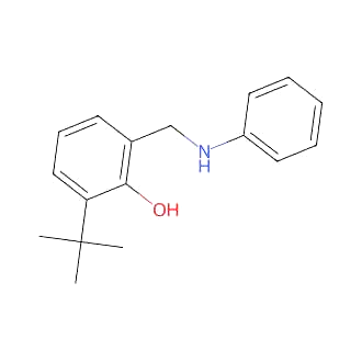 CC(C)(C)c1cccc(CNc2ccccc2)c1O